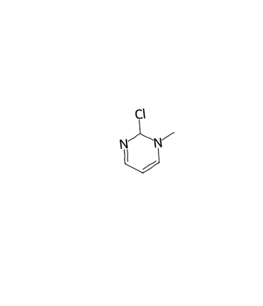 CN1C=CC=NC1Cl